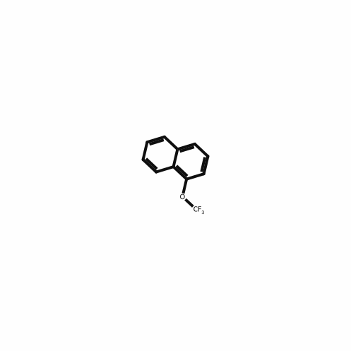 FC(F)(F)Oc1cccc2ccc[c]c12